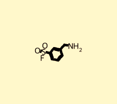 NCc1cccc(S(=O)(=O)F)c1